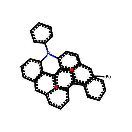 CC(C)(C)c1cc(-c2cccc3cccc(-c4ccccc4N(c4ccccc4)c4ccccc4-c4ccc(-c5ccccc5)cc4)c23)cc(C(C)(C)C)c1